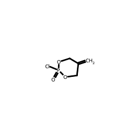 C=C1COP(=O)(Cl)OC1